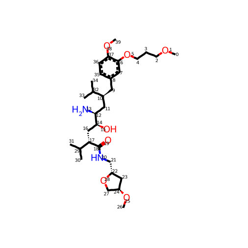 COCCCOc1cc(C[C@@H](C[C@H](N)[C@@H](O)C[C@H](C(=O)NC[C@@H]2C[C@@H](OC)CO2)C(C)C)C(C)C)ccc1OC